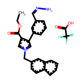 CCOC(=O)c1cn(Cc2ccc3ccccc3c2)cc1-c1cccc(/C=N\N)c1.O=C(O)C(F)(F)F